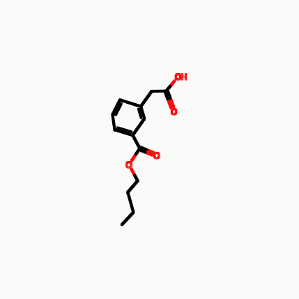 CCCCOC(=O)c1cccc(CC(=O)O)c1